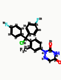 O=c1cnn(-c2ccc(C(Cl)(c3ccc(F)cc3)c3ccc(F)cc3)c(C(F)(F)F)c2)c(=O)[nH]1